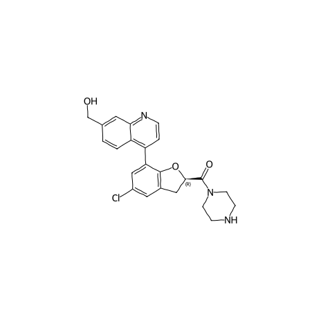 O=C([C@H]1Cc2cc(Cl)cc(-c3ccnc4cc(CO)ccc34)c2O1)N1CCNCC1